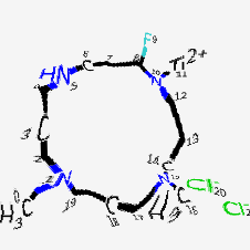 CN1CCCNCCC(F)[N]([Ti+2])CCCN(C)CCC1.[Cl-].[Cl-]